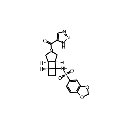 O=C(c1cnn[nH]1)N1C[C@@H]2[C@H]3CCC3(NS(=O)(=O)c3ccc4c(c3)OCO4)[C@@H]2C1